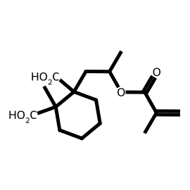 C=C(C)C(=O)OC(C)CC1(C(=O)O)CCCCC1(C)C(=O)O